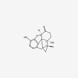 O=C1CC[C@@]2(O)[C@@H]3CC34Cc3ccc(O)c5c3C2(C4)[C@H]1O5